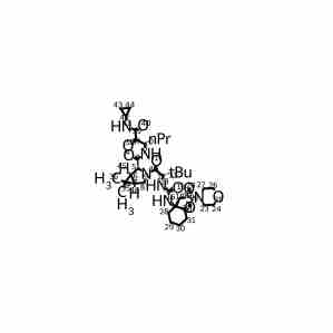 CCC[C@H](NC(=O)[C@@H]1[C@@H]2[C@H](CN1C(=O)[C@@H](NC(=O)NC1(CS(=O)(=O)N3CCOCC3)CCCCC1)C(C)(C)C)C2(C)C)C(=O)C(=O)NC1CC1